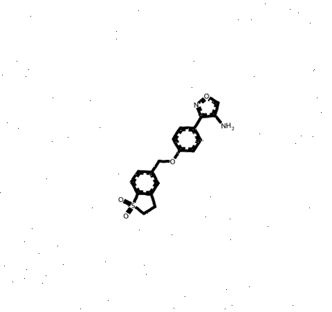 Nc1conc1-c1ccc(OCc2ccc3c(c2)CCS3(=O)=O)cc1